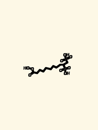 O=C(CCCCCCCCC(CS(=O)(=O)O)S(=O)(=O)O)OO